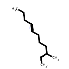 [CH2]CC(C)CCC/C=C/CCC